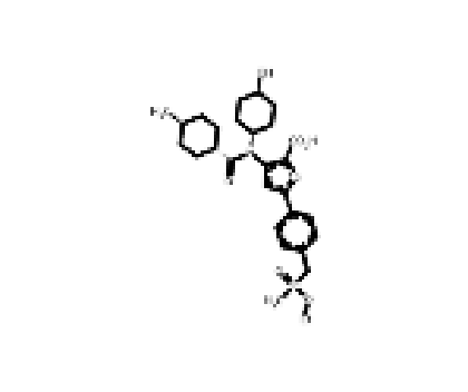 CCOP(C)(=O)Cc1ccc(-c2cc(N(C(=O)[C@H]3CC[C@H](C)CC3)[C@H]3CC[C@H](O)CC3)c(C(=O)O)s2)cc1